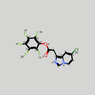 O=C(Cc1ncn2ccc(Cl)cc12)Oc1c(F)c(F)c(F)c(F)c1F